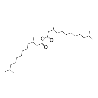 CC(C)CCCCCCCC(C)CC(=O)OC(=O)CC(C)CCCCCCCC(C)C